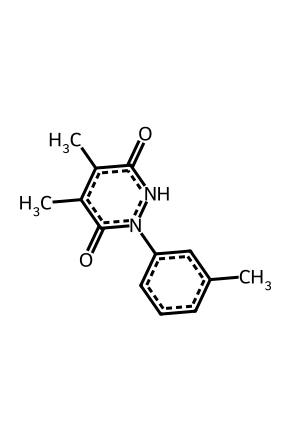 Cc1cccc(-n2[nH]c(=O)c(C)c(C)c2=O)c1